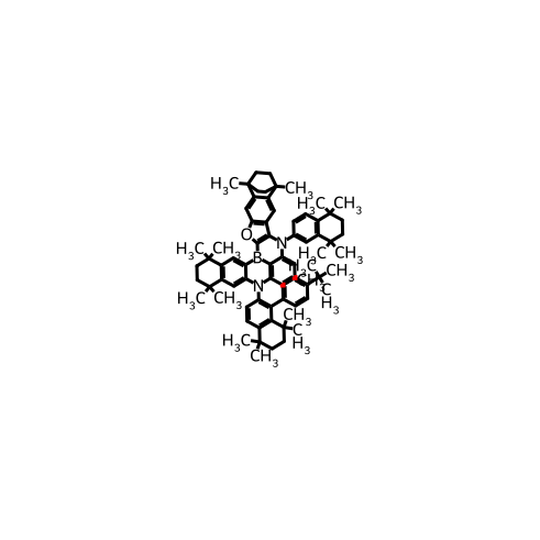 Cc1cc2c3c(c1)N(c1ccc4c(c1)C(C)(C)CCC4(C)C)c1c(oc4cc5c(cc14)C1(C)CCC5(C)CC1)B3c1cc3c(cc1N2c1ccc2c(c1-c1ccc(C(C)(C)C)cc1)C(C)(C)CCC2(C)C)C(C)(C)CCC3(C)C